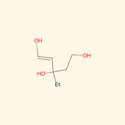 CCC(O)(C=CO)CCO